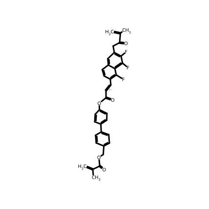 C=C(C)C(=O)Cc1cc2ccc(/C=C/C(=O)Oc3ccc(-c4ccc(COC(=O)C(=C)C)cc4)cc3)c(F)c2c(F)c1F